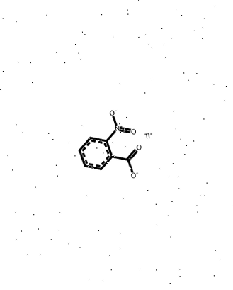 O=C([O-])c1ccccc1[N+](=O)[O-].[Tl+]